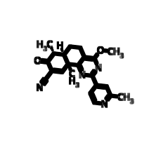 COc1nc(-c2ccnc(C)c2)nc2c1CC[C@@H]1[C@@H](C)C(=O)C(C#N)=C[C@@]21C